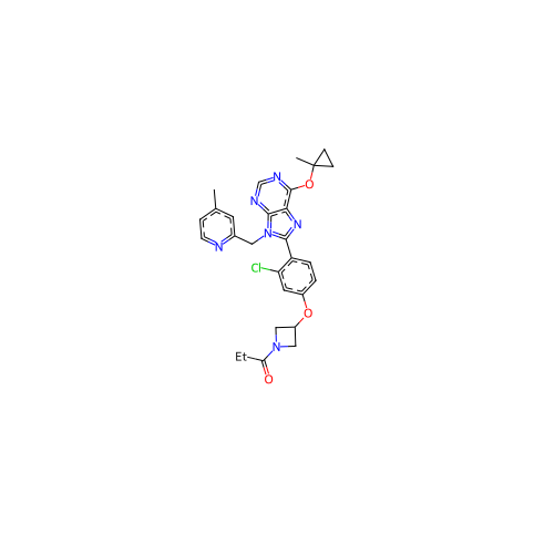 CCC(=O)N1CC(Oc2ccc(-c3nc4c(OC5(C)CC5)ncnc4n3Cc3cc(C)ccn3)c(Cl)c2)C1